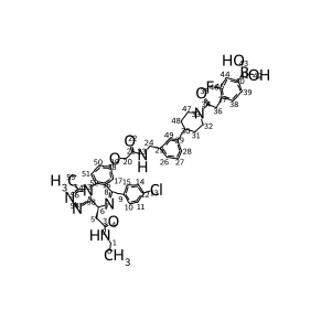 CCNC(=O)C[C@@H]1N=C(c2ccc(Cl)cc2)c2cc(OCC(=O)NCc3cccc(C4CCN(C(=O)Cc5ccc(B(O)O)cc5F)CC4)c3)ccc2-n2c(C)nnc21